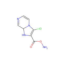 NOC(=O)C1=C(Cl)N2C=CN=CC2N1